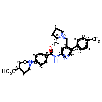 CC[C@@H]1CCCN1Cc1cc(NC(=O)c2ccc(N3CCC(C(=O)O)CC3)cc2)ncc1-c1ccc(C(F)(F)F)cc1